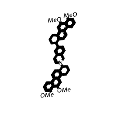 COc1cccc2c1c(OC)cc1c3c(ccc12)C(c1ccc2c(c1)C=CN(C1CCCc4c1ccc1c4cc(OC)c4c(OC)cccc41)C2)CCC3